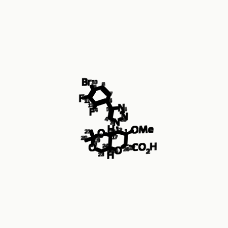 CO[C@@H]1[C@@H](n2cc(-c3ccc(Br)c(F)c3F)nn2)[C@H]2OC(C)(C)OC[C@H]2O[C@H]1C(=O)O